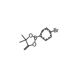 C=C1OB(c2ccc(Br)cc2)OC1(C)C